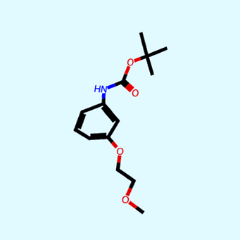 COCCOc1cccc(NC(=O)OC(C)(C)C)c1